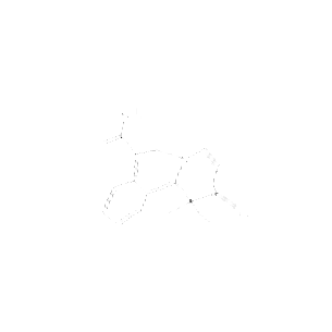 CC1(C)C(=O)C=CN2CC(C(N)=O)=c3ccccc3=C21